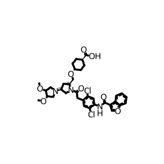 COC1CN([C@H]2C[C@@H](CO[C@H]3CC[C@H](C(=O)O)CC3)N(C(=O)Cc3cc(Cl)c(NC(=O)c4coc5ccccc45)cc3Cl)C2)CC1OC